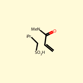 C=CC(=O)NC.CC(C)CS(=O)(=O)O